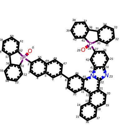 O=P1(c2ccc3cc(-c4ccc5c6c7ccccc7ccc6c6nc7ccc(P8(=O)c9ccccc9-c9ccccc98)cc7n6c5c4)ccc3c2)c2ccccc2-c2ccccc21